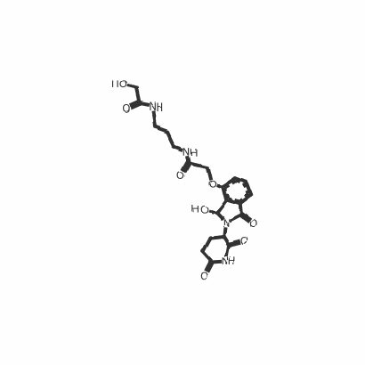 O=C(CO)NCCCNC(=O)COc1cccc2c1C(O)N(C1CCC(=O)NC1=O)C2=O